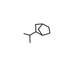 CC(C)C1CC2CCC1C2